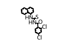 O=C(NC(=S)Nc1cccc2ccccc12)c1ccc(Cl)cc1Cl